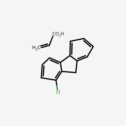 C=CC(=O)O.Clc1cccc2c1Cc1ccccc1-2